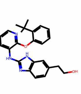 CC(C)(C)c1ccccc1Oc1ncccc1Nc1nc2ccc(CCO)cc2[nH]1